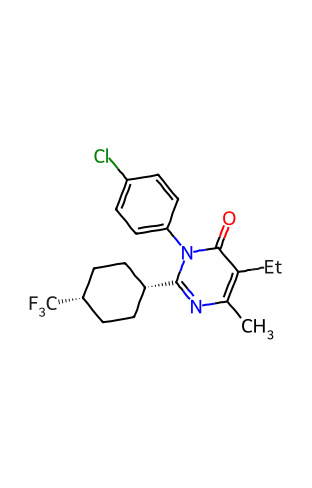 CCc1c(C)nc([C@H]2CC[C@@H](C(F)(F)F)CC2)n(-c2ccc(Cl)cc2)c1=O